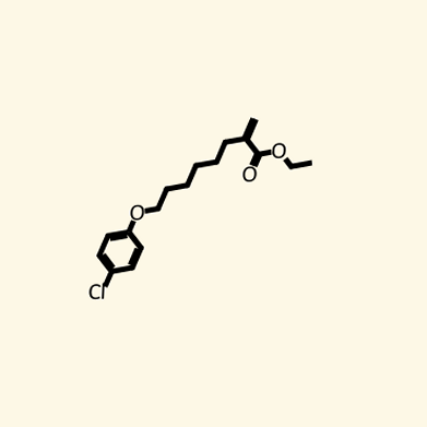 C=C(CCCCCCOc1ccc(Cl)cc1)C(=O)OCC